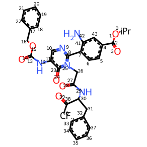 CC(C)OC(=O)c1ccc(-c2ncc(NC(=O)OCc3ccccc3)c(=O)n2CC(=O)NC(Cc2ccccc2)C(=O)C(F)(F)F)c(N)c1